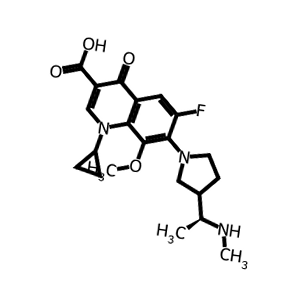 CN[C@@H](C)C1CCN(c2c(F)cc3c(=O)c(C(=O)O)cn(C4CC4)c3c2OC)C1